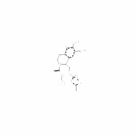 Cc1nnc(SCC2c3cc(O)c(O)cc3CCN2C(=O)OCC(Cl)(Cl)Cl)s1